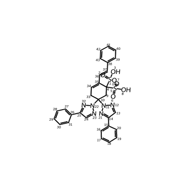 O=S(=O)(O)C1(S(=O)(=O)O)CC(n2ncc(-c3ccccc3)n2)(n2ncc(-c3ccccc3)n2)CC=C1C=Cc1ccccc1